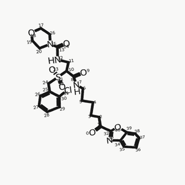 O=C(CCCCCNC(=O)C(CNC(=O)N1CCOCC1)S(=O)(=O)Cc1ccccc1Cl)c1nc2ccccc2o1